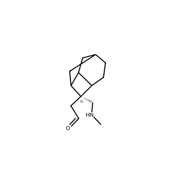 CNC[C@@]1(CC=O)C2CCC3CC2C1C3